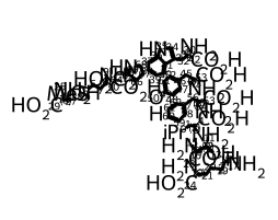 CC(C)C[C@H](N)C(=O)O.CSCC[C@H](N)C(=O)O.C[C@@H](O)[C@H](N)C(=O)O.NCCCC[C@H](N)C(=O)O.N[C@@H](CO)C(=O)O.N[C@@H](Cc1c[nH]c2ccccc12)C(=O)O.N[C@@H](Cc1ccc(O)cc1)C(=O)O.N[C@@H](Cc1ccccc1)C(=O)O.O=C(O)[C@@H]1CCCN1